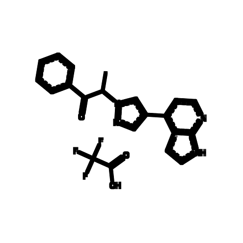 CC(C(=O)c1ccccc1)n1cc(-c2ccnc3[nH]ccc23)cn1.O=C(O)C(F)(F)F